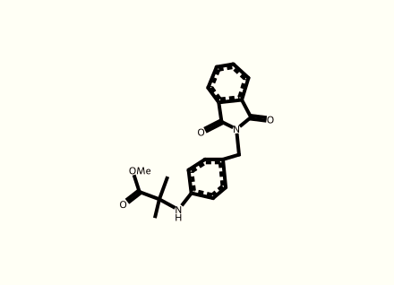 COC(=O)C(C)(C)Nc1ccc(CN2C(=O)c3ccccc3C2=O)cc1